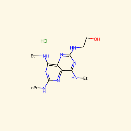 CCCNc1nc(NCC)c2nc(NCCO)nc(NCC)c2n1.Cl